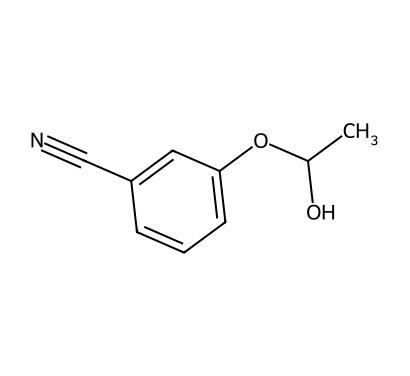 CC(O)Oc1cccc(C#N)c1